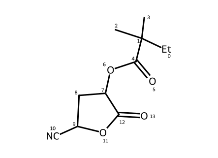 CCC(C)(C)C(=O)OC1CC(C#N)OC1=O